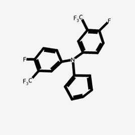 Fc1ccc(N(c2ccccc2)c2ccc(F)c(C(F)(F)F)c2)cc1C(F)(F)F